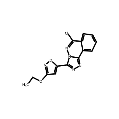 CCOc1cc(-c2nnc3c4ccccc4c(Cl)nn23)on1